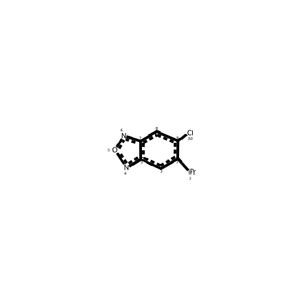 CC(C)c1cc2nonc2cc1Cl